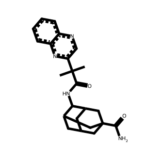 CC(C)(C(=O)NC1C2CC3CC1CC(C(N)=O)(C3)C2)c1cnc2ccccc2n1